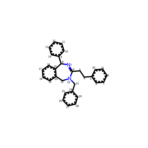 c1ccc(CCC2=NC(c3ccccc3)c3ccccc3CN2Cc2ccccc2)cc1